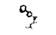 NC(=O)CN[C@@H]1C[C@H]1c1ccc(-c2ccccc2)cc1